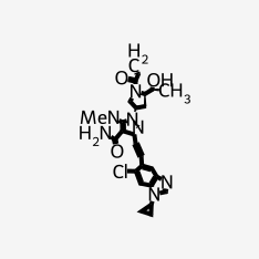 C=CC(=O)N1C[C@@H](n2nc(C#Cc3cc4ncn(C5CC5)c4cc3Cl)c(C(N)=O)c2NC)C[C@@H]1[C@H](C)O